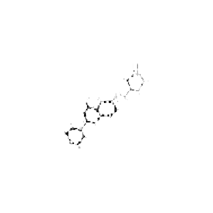 O=c1cc(-c2ccccc2)oc2ccc(OCC3CCCNC3)cc12